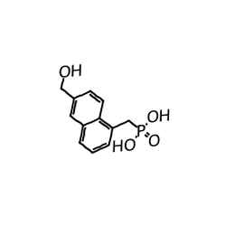 O=P(O)(O)Cc1cccc2cc(CO)ccc12